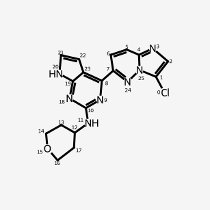 Clc1cnc2ccc(-c3nc(NC4CCOCC4)nc4[nH]ccc34)nn12